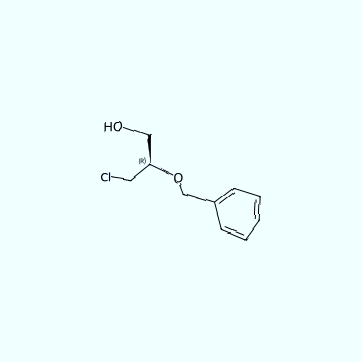 OC[C@H](CCl)OCc1ccccc1